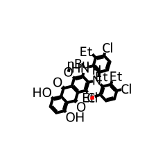 CCCCOc1c(Nc2c(CC)ccc(Cl)c2CC)c(Nc2c(CC)ccc(Cl)c2CC)c(Cl)c2c1C(=O)c1c(O)ccc(O)c1C2=O